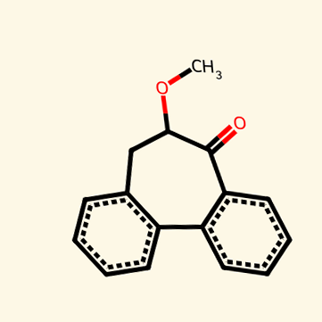 COC1Cc2ccccc2-c2ccccc2C1=O